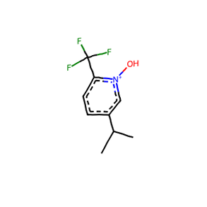 CC(C)c1ccc(C(F)(F)F)[n+](O)c1